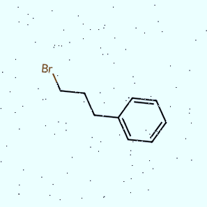 BrCCCc1[c]cccc1